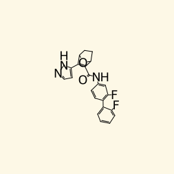 O=C(Nc1ccc(-c2ccccc2F)c(F)c1)C1=C(c2ccn[nH]2)C2CCC1O2